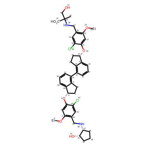 CCOc1cc(O[C@H]2CCc3c(-c4cccc5c4CC[C@@H]5Oc4cc(OCC)c(CNC(C)(CO)C(=O)O)cc4Cl)cccc32)c(Cl)cc1CN[C@@H]1CCC[C@@H]1O